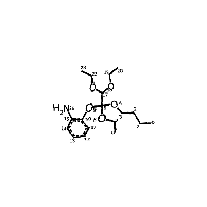 CCCCOC(OCC)(Oc1ccccc1N)C(OCC)OCC